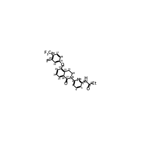 CCC(=O)Nc1cccc(N2CCc3c(Oc4ccc(C(F)(F)F)c(F)c4)cccc3C2=O)n1